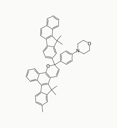 Cc1ccc2c(c1)C(C)(C)c1c3c(c4ccccc4c1-2)OC(c1ccc(N2CCOCC2)cc1)(c1ccc2c(c1)C(C)(C)c1c-2ccc2ccccc12)C=C3